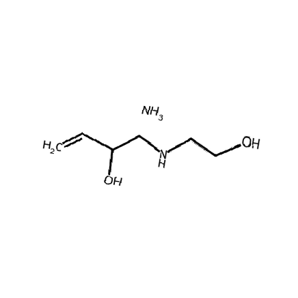 C=CC(O)CNCCO.N